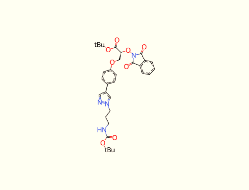 CC(C)(C)OC(=O)NCCCn1cc(-c2ccc(OC[C@H](ON3C(=O)c4ccccc4C3=O)C(=O)OC(C)(C)C)cc2)cn1